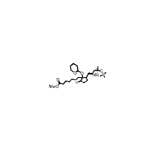 CCCC[C@@](C)(CC=CC1CCC(=O)C1(CCCCCCC(=O)OC)OC1CCCCO1)O[Si](C)(C)C